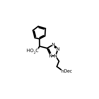 CCCCCCCCCCCCn1nnc(C(C(=O)O)c2ccccc2)n1